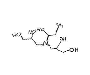 OCC(O)CN(CC(O)CO)C(O)CO